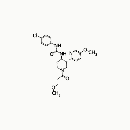 COCCC(=O)N1CC[C@@H](NC(=O)Nc2ccc(Cl)cc2)[C@H](c2ccc(OC)cn2)C1